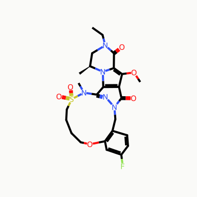 CCN1C[C@H](C)n2c(c(OC)c3c(=O)n4nc(c32)N(C)S(=O)(=O)CCCCOc2cc(F)ccc2C4)C1=O